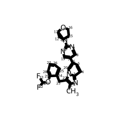 Cc1nc2ccc(-c3cnc(N4CC5CC4CO5)nc3)cn2c1Cc1ccccc1OC(F)F